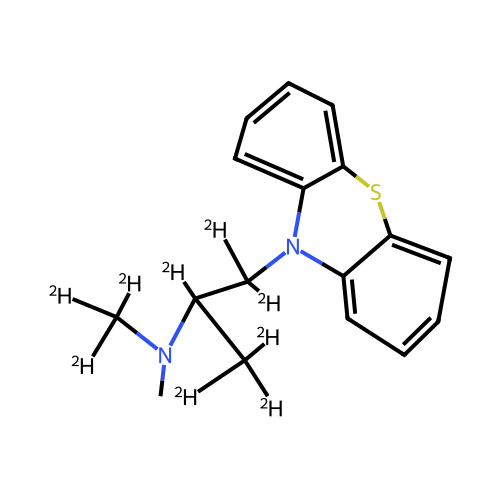 [2H]C([2H])([2H])N(C)C([2H])(C([2H])([2H])[2H])C([2H])([2H])N1c2ccccc2Sc2ccccc21